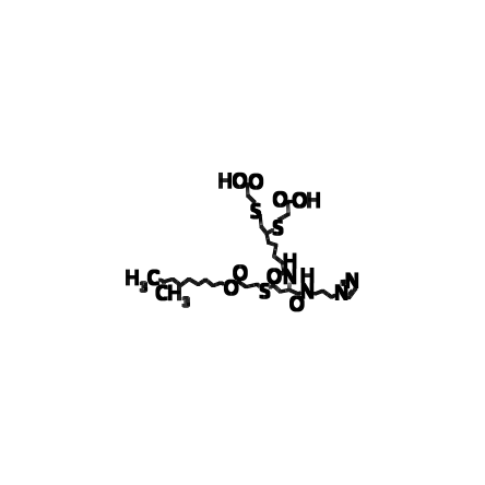 CC(C)CCCCCCCOC(=O)CCSCCC(NC(=O)CCCCC(CCSCCC(=O)O)SCCC(=O)O)C(=O)NCCCn1ccnc1